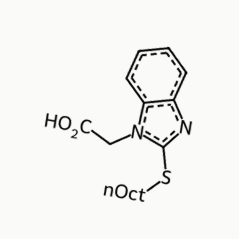 CCCCCCCCSc1nc2ccccc2n1CC(=O)O